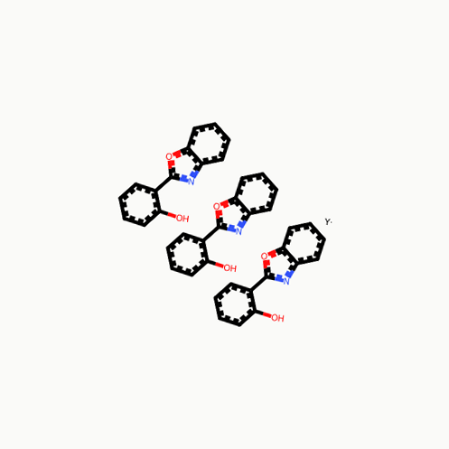 Oc1ccccc1-c1nc2ccccc2o1.Oc1ccccc1-c1nc2ccccc2o1.Oc1ccccc1-c1nc2ccccc2o1.[Y]